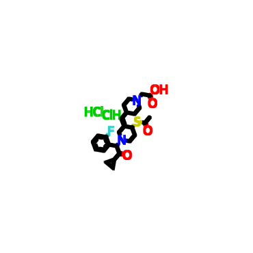 CC(=O)SC1CCN(C(C(=O)C2CC2)c2ccccc2F)CC1=CC1CCN(CC(=O)O)CC1.Cl.Cl